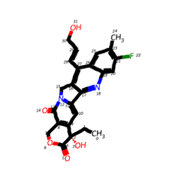 CC[C@@]1(O)C(=O)OCc2c1cc1n(c2=O)Cc2c-1nc1cc(F)c(C)cc1c2/C=C/CO